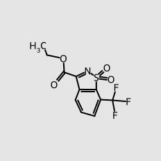 CCOC(=O)C1=NS(=O)(=O)c2c1cccc2C(F)(F)F